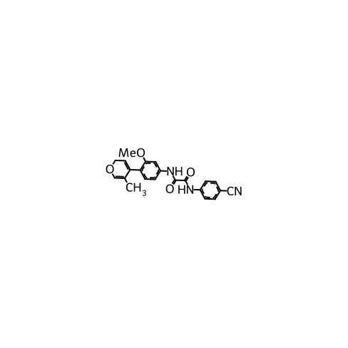 COc1cc(NC(=O)C(=O)Nc2ccc(C#N)cc2)ccc1C1=CCOC=C1C